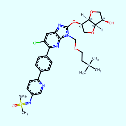 CNS(C)(=O)=Nc1ccc(-c2ccc(-c3nc4c(cc3Cl)nc(O[C@@H]3CO[C@H]5[C@@H]3OC[C@H]5O)n4COCC[Si](C)(C)C)cc2)nc1